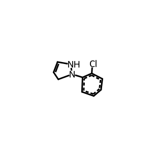 Clc1ccccc1N1CC=CN1